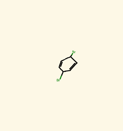 BrC1C=CC(Br)C=C1